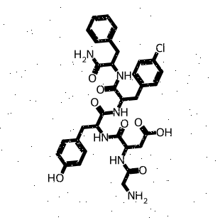 NCC(=O)NC(CC(=O)O)C(=O)NC(Cc1ccc(O)cc1)C(=O)NC(Cc1ccc(Cl)cc1)C(=O)NC(Cc1ccccc1)C(N)=O